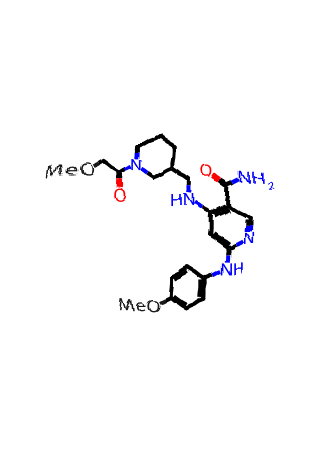 COCC(=O)N1CCCC(CNc2cc(Nc3ccc(OC)cc3)ncc2C(N)=O)C1